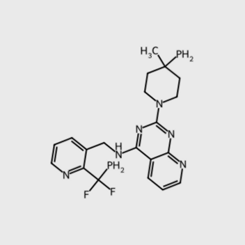 CC1(P)CCN(c2nc(NCc3cccnc3C(F)(F)P)c3cccnc3n2)CC1